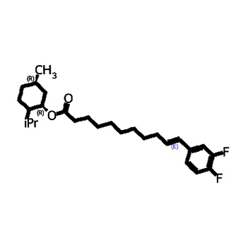 CC(C)C1CC[C@@H](C)C[C@H]1OC(=O)CCCCCCCC/C=C/c1ccc(F)c(F)c1